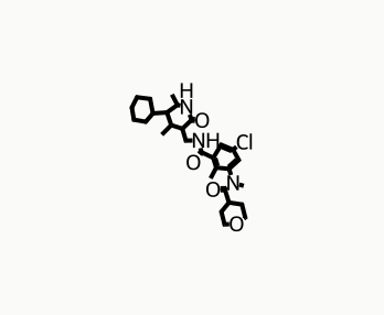 Cc1c(C(=O)NCC2C(=O)NC(C)C(C3CCCCC3)C2C)cc(Cl)cc1N(C)C(=O)C1CCOCC1